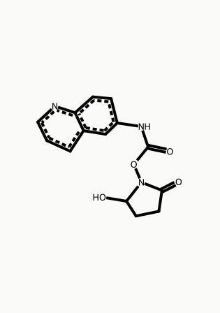 O=C(Nc1ccc2ncccc2c1)ON1C(=O)CCC1O